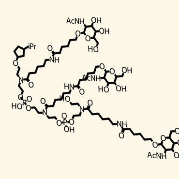 CC(=O)NC1C(OCCCCCC(=O)NCCCCCC(=O)N(CCO)CCOP(=O)(O)OCCN(CCOP(=O)(O)OCCN(CCOC2CCC(C(C)C)C2)C(=O)CCCCCNC(=O)CCCCCOC2OC(CO)C(O)C(O)C2NC(C)=O)C(=O)CCCCCNC(=O)CCCCCOC2OC(CO)C(O)C(O)C2NC(C)=O)OC(CO)C(O)C1O